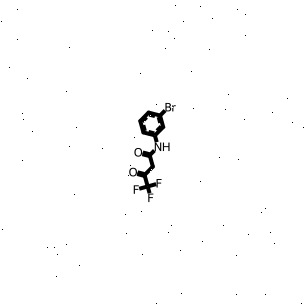 O=C(CC(=O)C(F)(F)F)Nc1cccc(Br)c1